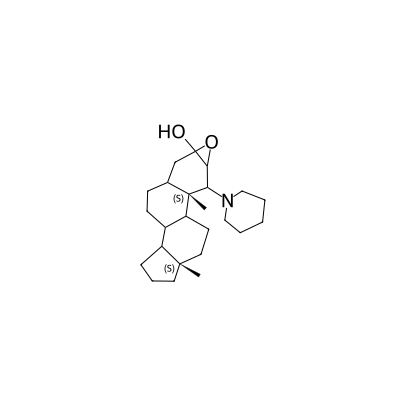 C[C@@]12CCCC1C1CCC3CC4(O)OC4C(N4CCCCC4)[C@]3(C)C1CC2